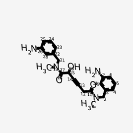 CN(Cc1cccc(N)c1)C(=O)CC#CC(O)C(=O)N(C)Cc1cccc(N)c1